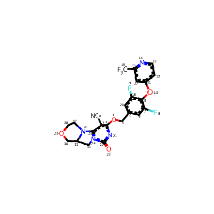 N#Cc1c(OCc2cc(F)c(Oc3ccnc(C(F)(F)F)c3)c(F)c2)nc(=O)n2c1N1CCOCC1C2